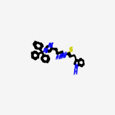 S=C(CCc1c[nH]c2ccccc12)NCCCc1cn(C(c2ccccc2)(c2ccccc2)c2ccccc2)cn1